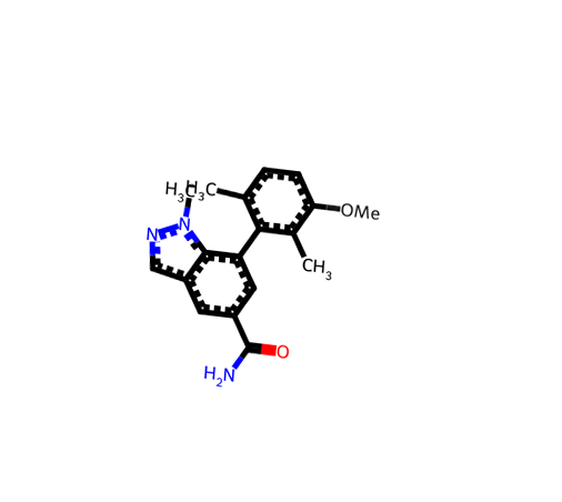 COc1ccc(C)c(-c2cc(C(N)=O)cc3cnn(C)c23)c1C